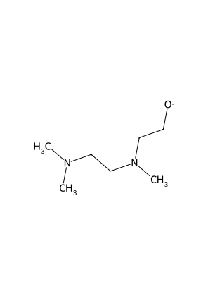 CN(C)CCN(C)CC[O]